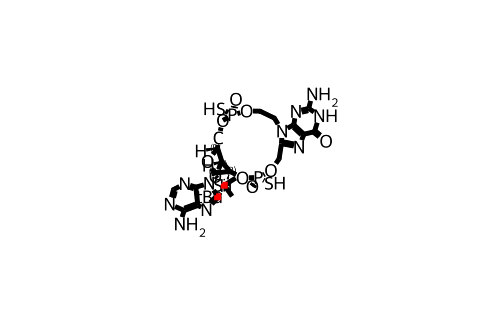 CC(C)(C)[Si](C)(C)O[C@H]1[C@H]2OP(=O)(S)OCc3nc4c(=O)[nH]c(N)nc4n3CCOP(=O)(S)OC[C@H]1O[C@H]2n1cnc2c(N)ncnc21